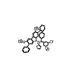 CC(C)(C)c1cc2c(cc1-c1ccccc1)[CH](/[Zr+2]([C]1=CC=CC1)=[C](\c1ccccc1)c1cccc(Cl)c1)c1cc(-c3ccccc3)c(C(C)(C)C)cc1-2.[Cl-].[Cl-]